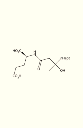 CCCCCCCC(C)(O)CC(=O)N[C@@H](CCC(=O)O)C(=O)O